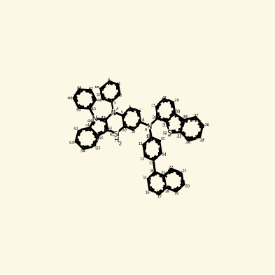 c1ccc(N2c3ccc(N(c4ccc(-c5cccc6ccccc56)cc4)c4cccc5c4sc4ccccc45)cc3[SiH2]c3c2n(-c2ccccc2)c2ccccc32)cc1